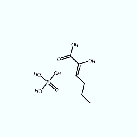 CCC/C=C(\O)C(=O)O.O=P(O)(O)O